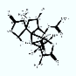 CNC(=O)O[C@H]1[C@@H]2OC(=O)[C@@H](C)[C@]2(O)[C@]23OC4OC(=O)[C@H](O)C45[C@H](C)[C@@H](O)C(OC2=O)C153